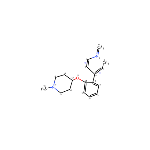 C=N/C=C\C(=C/C)c1ccccc1OC1CCN(C)CC1